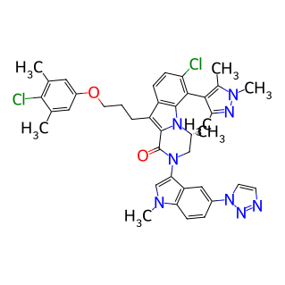 Cc1cc(OCCCc2c3n(c4c(-c5c(C)nn(C)c5C)c(Cl)ccc24)[C@H](C)CN(c2cn(C)c4ccc(-n5ccnn5)cc24)C3=O)cc(C)c1Cl